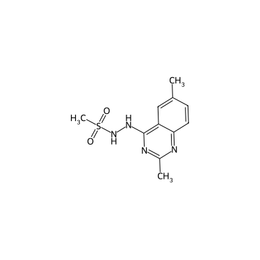 Cc1ccc2nc(C)nc(NNS(C)(=O)=O)c2c1